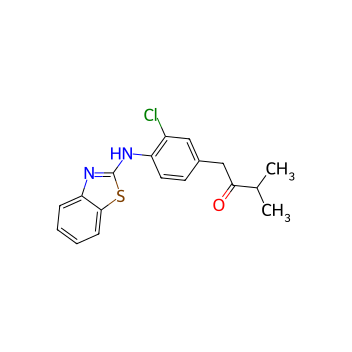 CC(C)C(=O)Cc1ccc(Nc2nc3ccccc3s2)c(Cl)c1